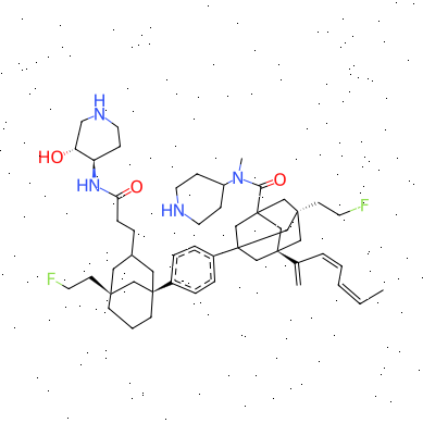 C=C(/C=C\C=C/C)[C@@]12CC3(C(=O)N(C)C4CCNCC4)CC(c4ccc([C@]56CCC[C@](CCF)(CC(CCC(=O)N[C@@H]7CCNC[C@H]7O)C5)C6)cc4)(C[C@@](CCF)(C3)C1)C2